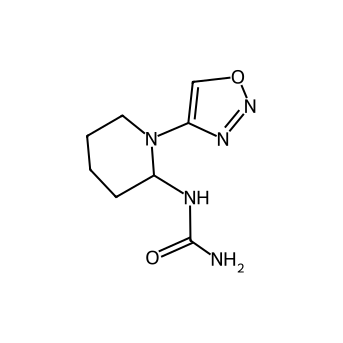 NC(=O)NC1CCCCN1c1conn1